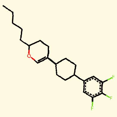 CCCCCC1CCC(C2CCC(c3cc(F)c(F)c(F)c3)CC2)=CO1